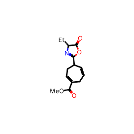 CCC1N=C(C2C=CCC(C(=O)OC)=CC2)OC1=O